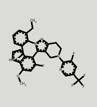 CCc1cccc(CC)c1-n1nc2c(c1-c1c(F)cc(OC)c3[nH]ccc13)CN(c1ncc(C(F)(F)F)cc1F)CC2